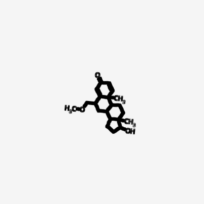 COCC1CC2C(CCC3(C)C(O)CCC23)C2(C)C=CC(=O)C=C12